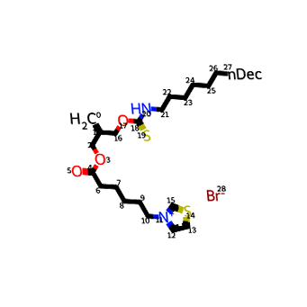 C=C(COC(=O)CCCCC[n+]1ccsc1)COC(=S)NCCCCCCCCCCCCCCCC.[Br-]